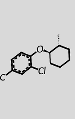 C[C@@H]1CCCC[C@H]1Oc1ccc(C#N)cc1Cl